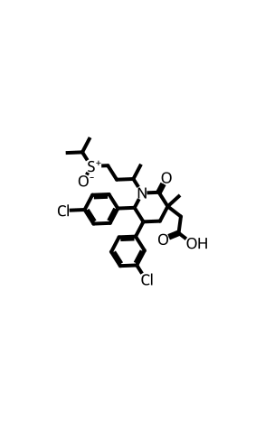 CC(CC[S+]([O-])C(C)C)N1C(=O)C(C)(CC(=O)O)CC(c2cccc(Cl)c2)C1c1ccc(Cl)cc1